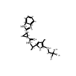 Cc1cc(C(C)NC(=O)[C@H]2C[C@@H]2c2nc3ccccc3[nH]2)sc1OCC(F)(F)F